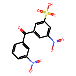 O=C(c1cccc([N+](=O)[O-])c1)c1cc([N+](=O)[O-])cc(S(=O)(=O)O)c1